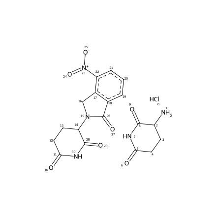 Cl.NC1CCC(=O)NC1=O.O=C1CCC(N2Cc3c(cccc3[N+](=O)[O-])C2=O)C(=O)N1